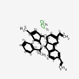 C=Cc1ccc2c(c1)-c1cc(C=C)ccc1[CH]2/[Zr+2]([C]1=CC(C)=CC1C)=[C](\C)c1ccccc1.[Cl-].[Cl-]